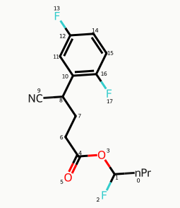 CCCC(F)OC(=O)CCC(C#N)c1cc(F)ccc1F